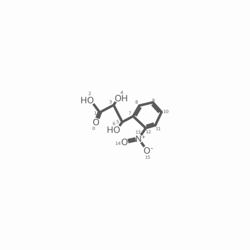 O=C(O)C(O)C(O)c1ccccc1[N+](=O)[O-]